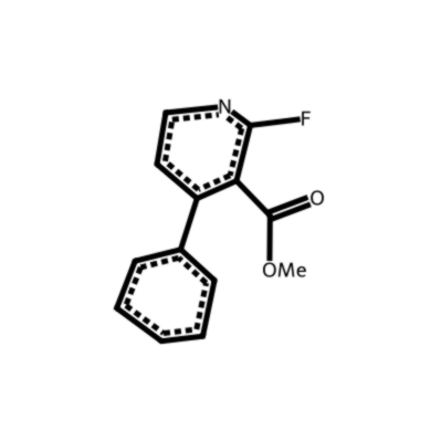 COC(=O)c1c(-c2ccccc2)ccnc1F